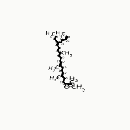 C=CC/C(=C/CC/C(C)=C/CC/C=C(\C)CC/C=C(\C)CCC1OC1(C)C)CC/C=C\C